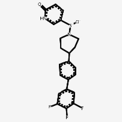 O=c1ccc([S+]([O-])N2CCC(c3ccc(-c4cc(F)c(F)c(F)c4)cc3)CC2)c[nH]1